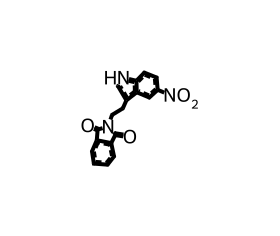 O=C1c2ccccc2C(=O)N1CCc1c[nH]c2ccc([N+](=O)[O-])cc12